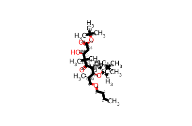 CCCCOC[C@H](C)[C@H](O[Si](C)(C)C(C)(C)C)[C@@H](C)C(=O)C(C)(C)[C@@H](O)CC(=O)OC(C)(C)C